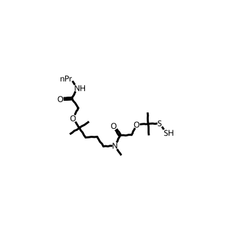 CCCNC(=O)COC(C)(C)CCCN(C)C(=O)COC(C)(C)SS